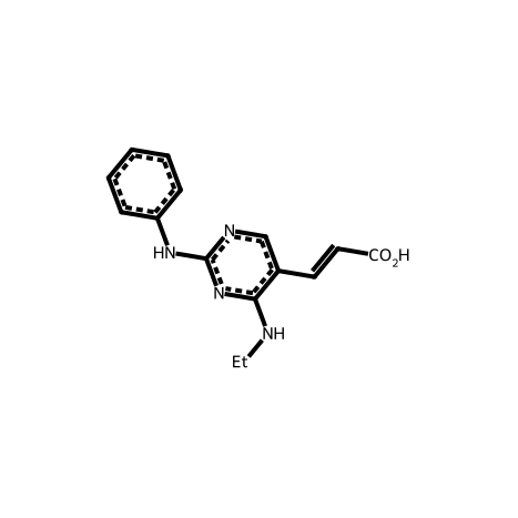 CCNc1nc(Nc2ccccc2)ncc1C=CC(=O)O